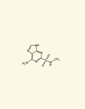 CNS(=O)(=O)c1nc(N)c2nc[nH]c2n1